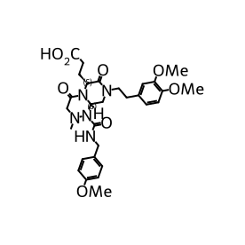 COc1ccc(CNC(=O)N2[C@H]3CN(CCc4ccc(OC)c(OC)c4)C(=O)[C@H](CCC(=O)O)N3C(=O)CN2C)cc1